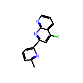 Cc1cccc(-c2cc(Cl)c3cccnc3n2)n1